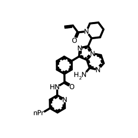 C=CC(=O)N1CCCCC1c1nc(-c2cccc(C(=O)Nc3cc(CCC)ccn3)c2)c2c(N)nccn12